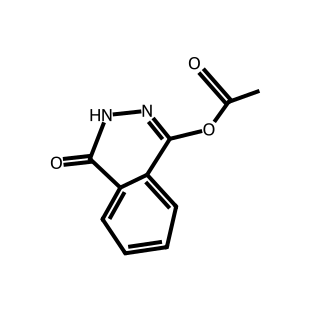 CC(=O)Oc1n[nH]c(=O)c2ccccc12